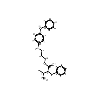 CC(N)C(Cc1ccccc1)C(=O)OCCCOc1ccc(Oc2ccccc2)cc1